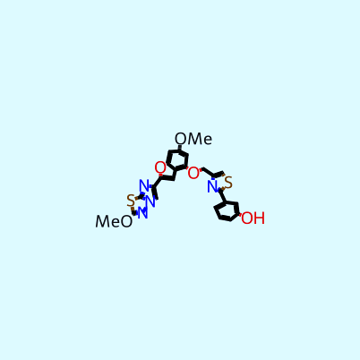 COc1cc(OCc2csc(-c3cccc(O)c3)n2)c2cc(-c3cn4nc(OC)sc4n3)oc2c1